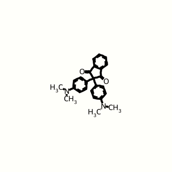 CN(C)c1ccc(C2(c3ccc(N(C)C)cc3)C(=O)c3ccccc3C2=O)cc1